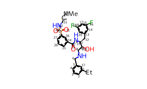 CCc1cccc(CNC[C@H](O)[C@H](Cc2cc(F)cc(F)c2)NC(=O)c2cccc(S(=O)(=O)NCCNC)c2)c1